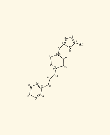 Clc1ccc(CN2CCN(CCCc3ccccc3)CC2)s1